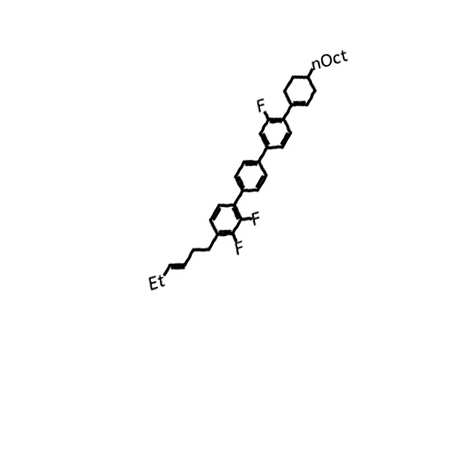 CC/C=C/CCc1ccc(-c2ccc(-c3ccc(C4=CCC(CCCCCCCC)CC4)c(F)c3)cc2)c(F)c1F